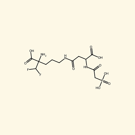 NC(CCCNC(=O)CC(NC(=O)CP(=O)(O)O)C(=O)O)(C(=O)O)C(F)F